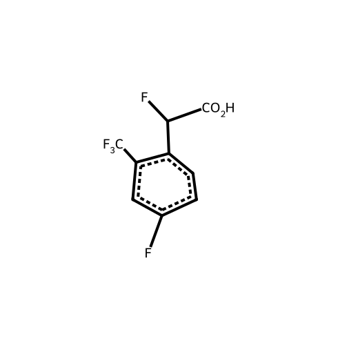 O=C(O)C(F)c1ccc(F)cc1C(F)(F)F